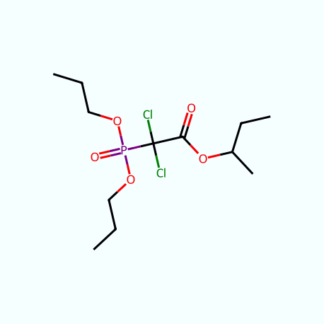 CCCOP(=O)(OCCC)C(Cl)(Cl)C(=O)OC(C)CC